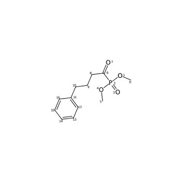 COP(=O)(OC)C(=O)CCCc1ccccc1